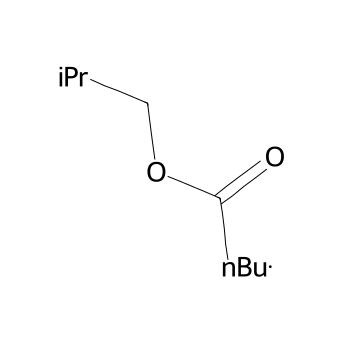 [CH2]CC[CH]C(=O)OCC(C)C